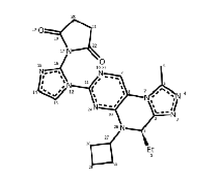 CC[C@@H]1c2nnc(C)n2-c2cnc(-n3ccnc3N3C(=O)CCC3=O)nc2N1C1CCC1